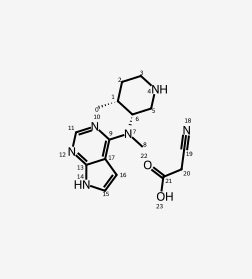 C[C@@H]1CCNC[C@@H]1N(C)c1ncnc2[nH]ccc12.N#CCC(=O)O